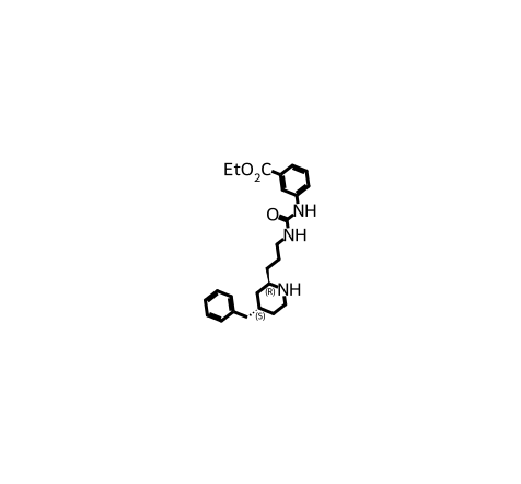 CCOC(=O)c1cccc(NC(=O)NCCC[C@@H]2C[C@@H](Cc3ccccc3)CCN2)c1